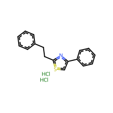 Cl.Cl.c1ccc(CCc2nc(-c3ccccc3)cs2)cc1